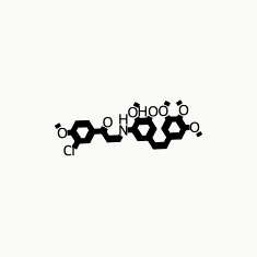 COc1ccc(C(=O)/C=C\Nc2cc(/C=C\c3cc(OC)c(OC)c(OC)c3)cc(O)c2OC)cc1Cl